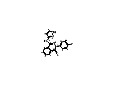 Cc1ccc(-n2nc(Nc3cc[nH]n3)c3ccccc3c2=O)cc1